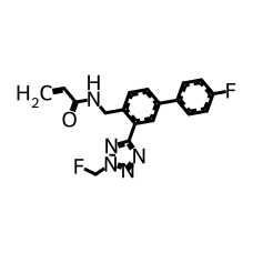 C=CC(=O)NCc1ccc(-c2ccc(F)cc2)cc1-c1nnn(CF)n1